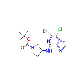 CC(C)(C)OC(=O)N1CC[C@H](Nc2nc(Br)c(Cl)n3ccnc23)C1